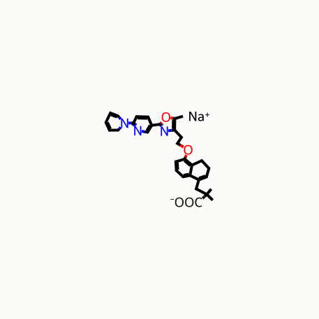 Cc1oc(-c2ccc(N3C=CC=CC3)nc2)nc1CCOc1cccc2c1CCC=C2CC(C)(C)C(=O)[O-].[Na+]